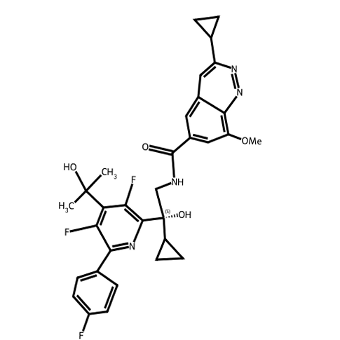 COc1cc(C(=O)NC[C@](O)(c2nc(-c3ccc(F)cc3)c(F)c(C(C)(C)O)c2F)C2CC2)cc2cc(C3CC3)nnc12